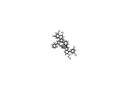 CCCc1ccc2c(c1-c1cc(C)cc(C)c1)C=C(c1ccccc1)C2C[SiH2]CC1C(c2ccccc2)=Cc2c1ccc(CCC)c2-c1cc(C)cc(C)c1